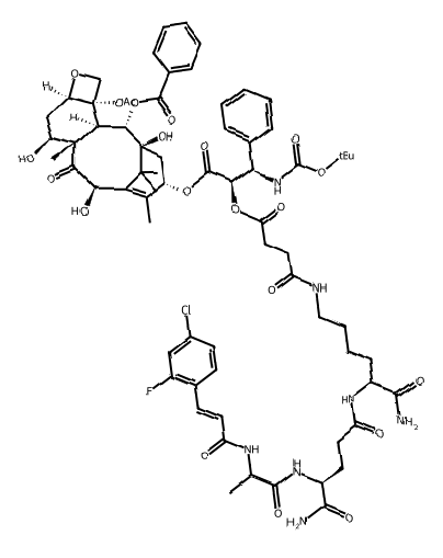 CC(=O)O[C@@]12CO[C@@H]1C[C@H](O)[C@@]1(C)C(=O)[C@H](O)C3=C(C)[C@@H](OC(=O)[C@H](OC(=O)CCC(=O)NCCCCC(NC(=O)CC[C@H](NC(=O)C(C)NC(=O)/C=C/c4ccc(Cl)cc4F)C(N)=O)C(N)=O)[C@H](NC(=O)OC(C)(C)C)c4ccccc4)C[C@@](O)([C@@H](OC(=O)c4ccccc4)[C@H]21)C3(C)C